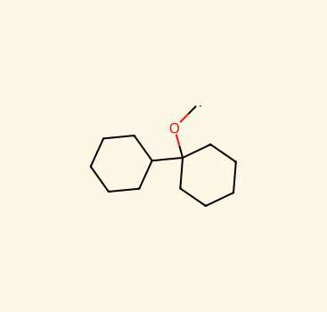 [CH2]OC1(C2CCCCC2)CCCCC1